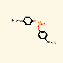 CCCCCCCc1ccc(O[PH](=O)Oc2ccc(CCCCCCC)cc2)cc1